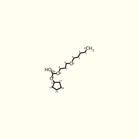 CCCCCOCCCOC(O)OC1CCCC1